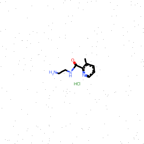 Cc1cccnc1C(=O)NCCN.Cl